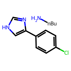 CCCCN.Clc1ccc(-c2c[nH]cn2)cc1